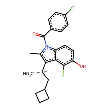 Cc1c([C@H](CC2CCC2)C(=O)O)c2c(F)c(O)ccc2n1C(=O)c1ccc(Cl)cc1